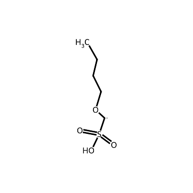 CCCCO[CH]S(=O)(=O)O